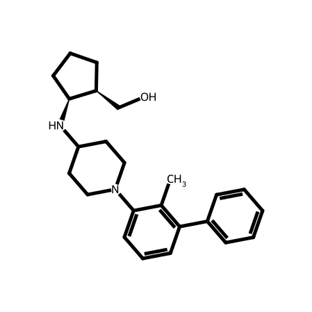 Cc1c(-c2ccccc2)cccc1N1CCC(N[C@H]2CCC[C@H]2CO)CC1